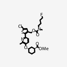 COC(=O)[C@H]1CCC[C@H](Oc2ccc(-c3sc(Cl)cc3COC(=O)N(C)CCCCF)nc2C)C1